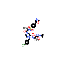 CCC[C@H](NC(=O)[C@H]1CN(C(=O)[C@@H](NS(=O)(=O)c2ccc(-c3cnco3)cc2)C(C)(C)C)CCN1Cc1ccc(Cl)cc1)C(=O)C(=O)NC1CC1